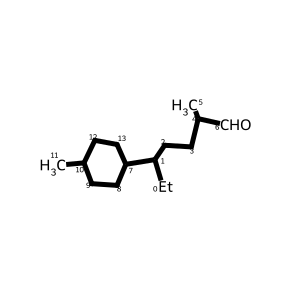 CCC(CCC(C)C=O)C1CCC(C)CC1